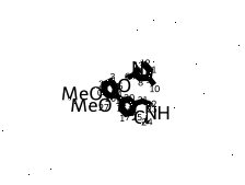 COc1ccc(OCc2cc(C)ccn2)c(-c2ccc3c(c2)CCNCC3)c1OC